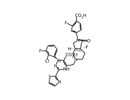 CCOC(=O)C1=C(CN2CC[C@]3(F)C(=O)N(c4ccc(C(=O)O)c(F)c4)C[C@@H]3C2)NC(c2nccs2)=N[C@H]1c1cccc(F)c1Cl